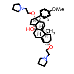 COc1ccc([C@]2(OCCN3CCCC3)CC[C@]3(O)[C@@H]4CCC5=C[C@@H](OCCN6CCCC6)CC[C@]5(C)[C@H]4CC[C@]23C)cc1